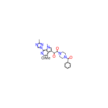 COc1cnc(-n2cnc(C)n2)c2c1c(C(=O)C(=O)N1CCN(C(=O)c3ccccc3)CC1)cn2C